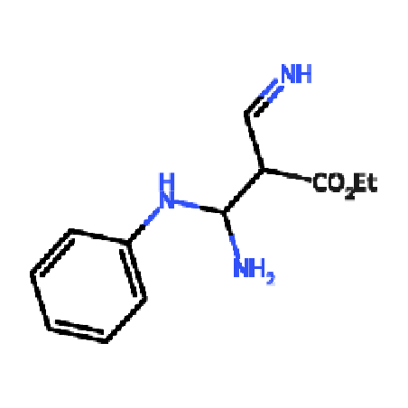 CCOC(=O)C(C=N)C(N)Nc1ccccc1